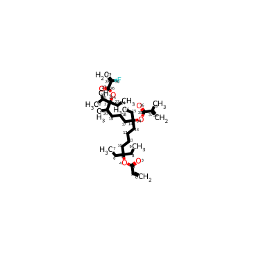 C=CC(=O)OC(CC)(CC)CCCCC(CC)(CCCC(C)C(CC)(OC(=O)C(=C)F)C(C)C)OC(=O)C(=C)C